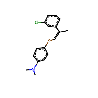 CC(=CSc1ccc(N(C)C)cc1)c1cccc(Cl)c1